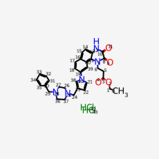 CCOC(=O)CCn1c(=O)c(=O)[nH]c2ccc3ccc(-n4ccc(CN5CCN(Cc6ccccc6)CC5)c4)cc3c21.Cl.Cl